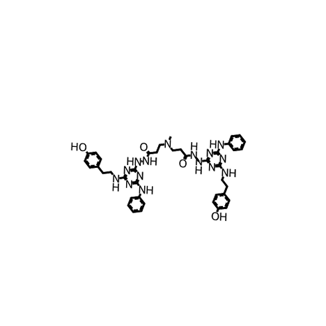 CN(CCC(=O)NNc1nc(NCCc2ccc(O)cc2)nc(Nc2ccccc2)n1)CCC(=O)NNc1nc(NCCc2ccc(O)cc2)nc(Nc2ccccc2)n1